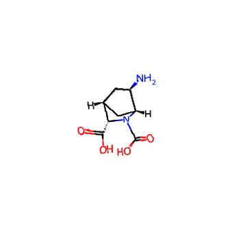 N[C@@H]1C[C@@H]2C[C@H]1N(C(=O)O)[C@@H]2C(=O)O